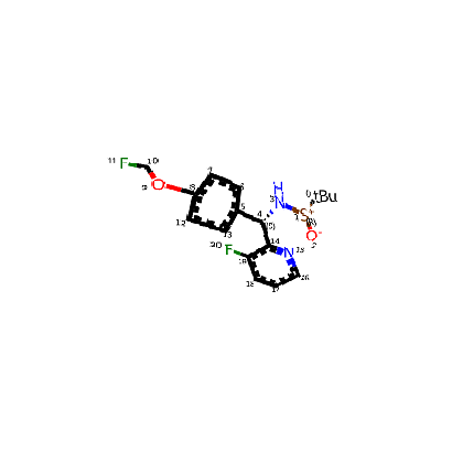 CC(C)(C)[S@+]([O-])N[C@@H](c1ccc(OCF)cc1)c1ncccc1F